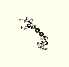 COC(=O)N[C@H](C(=O)N1CC(C)=C[C@H]1c1ncc(-c2ccc(C34CCC(c5cnc([C@@H]6CCCN6C(=O)[C@@H](NC(=O)OC)C(C)C)[nH]5)(CC3)CC4)cc2)[nH]1)C(C)C